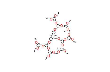 C#CCOC1=CC(OCC#C)CC(COc2cc(COc3ccc(C(C)(c4ccc(OCc5cc(OCC6=CC(OCC#C)CC(OCC#C)=C6)cc(OCc6cc(OCC#C)cc(OCC#C)c6)c5)cc4)c4ccc(OCc5cc(OCC6=CC(OCC#C)=CC(OCC#C)C6)cc(OCc6cc(OCC#C)cc(OCC#C)c6)c5)cc4)cc3)cc(OCc3cc(OCC#C)cc(OCC#C)c3)c2)=C1